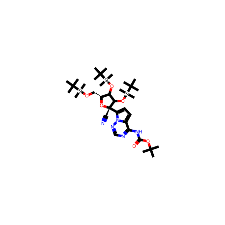 CC(C)(C)OC(=O)Nc1ncnn2c([C@]3(C#N)O[C@H](CO[Si](C)(C)C(C)(C)C)C(O[Si](C)(C)C(C)(C)C)C3O[Si](C)(C)C(C)(C)C)ccc12